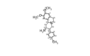 COc1cc2c(cc1OC)C1CC(N)C(c3ccc(C)cc3)CN1CC2